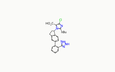 CCCCc1nc(Cl)c(C(=O)O)n1C1CCc2cc(-c3ccccc3-c3nn[nH]n3)ccc21